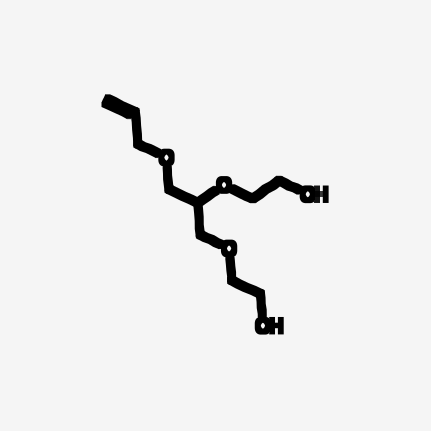 C=CCOCC(COCCO)OCCO